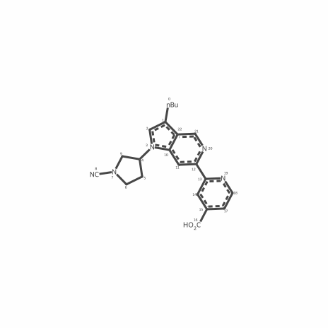 CCCCc1cn(C2CCN(C#N)C2)c2cc(-c3cc(C(=O)O)ccn3)ncc12